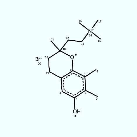 Cc1c(O)cc2c(c1C)OC(C)(CC[N+](C)(C)C)CC2.[Br-]